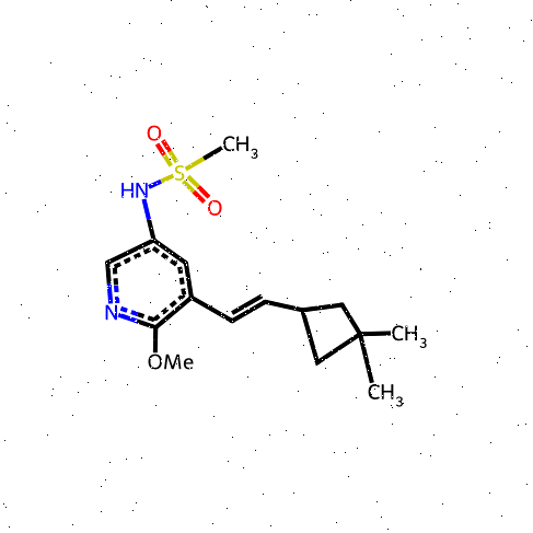 COc1ncc(NS(C)(=O)=O)cc1C=CC1CC(C)(C)C1